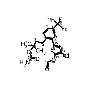 CC(C)(CCc1ccc(C(F)(F)F)nc1-c1nc(Cl)c(OC=O)s1)OC(N)=O